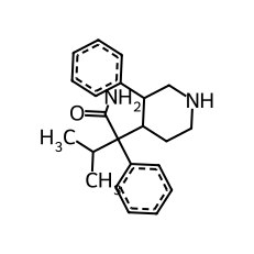 CC(C)C(C(N)=O)(c1ccccc1)C1CCNCC1c1ccccc1